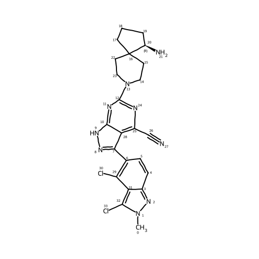 Cn1nc2ccc(-c3n[nH]c4nc(N5CCC6(CCC[C@H]6N)CC5)nc(C#N)c34)c(Cl)c2c1Cl